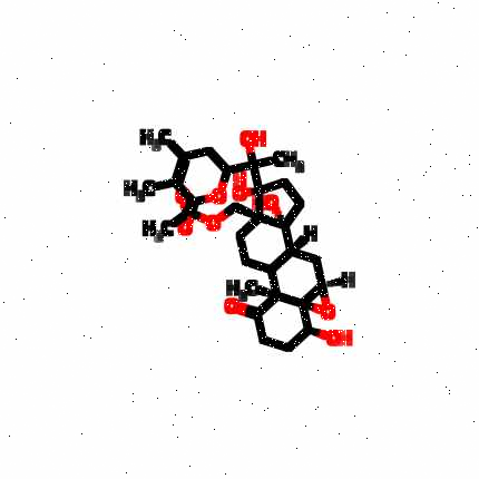 CC(=O)OC[C@]12CCC3[C@@H](C[C@H]4O[C@]45[C@@H](O)CCC(=O)[C@]35C)[C@]1(O)CC[C@@]2(O)C(C)(O)C1CC(C)=C(C)C(=O)O1